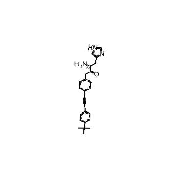 CC(C)(C)c1ccc(C#Cc2ccc(CC(=O)[C@@H](N)Cc3c[nH]cn3)cc2)cc1